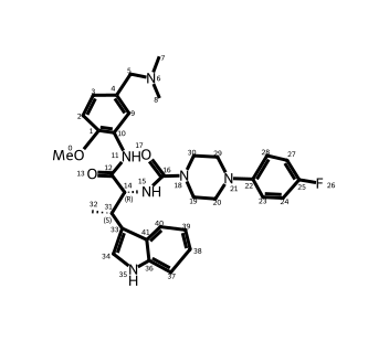 COc1ccc(CN(C)C)cc1NC(=O)[C@H](NC(=O)N1CCN(c2ccc(F)cc2)CC1)[C@@H](C)c1c[nH]c2ccccc12